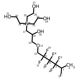 CC(F)C(F)(F)C(F)(F)C(F)(F)COCC(O)C[N+](CCO)(CCO)CCO